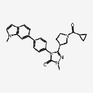 Cn1nc(C2CCN(C(=O)C3CC3)C2)n(-c2ccc(-c3ccc4ccn(C)c4c3)cc2)c1=O